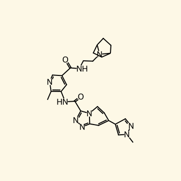 Cc1ncc(C(=O)NCCN2C3CCC2CC3)cc1NC(=O)c1nnc2cc(-c3cnn(C)c3)ccn12